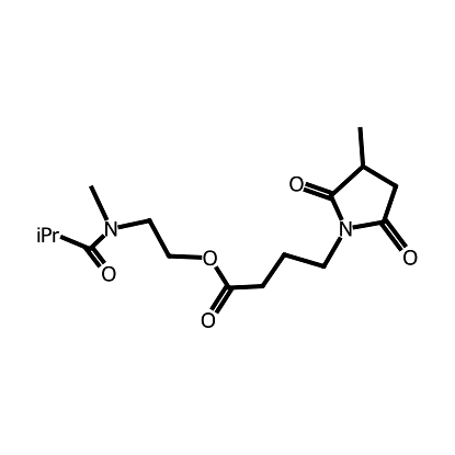 CC(C)C(=O)N(C)CCOC(=O)CCCN1C(=O)CC(C)C1=O